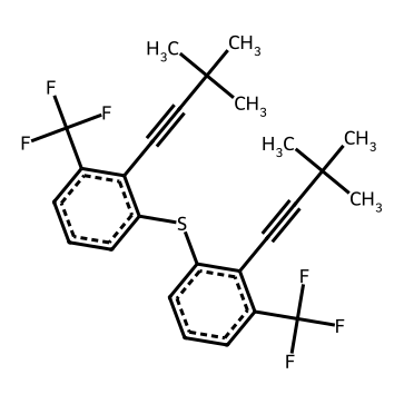 CC(C)(C)C#Cc1c(Sc2cccc(C(F)(F)F)c2C#CC(C)(C)C)cccc1C(F)(F)F